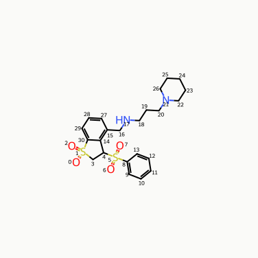 O=S1(=O)CC(S(=O)(=O)c2ccccc2)c2c(CNCCCN3CCCCC3)cccc21